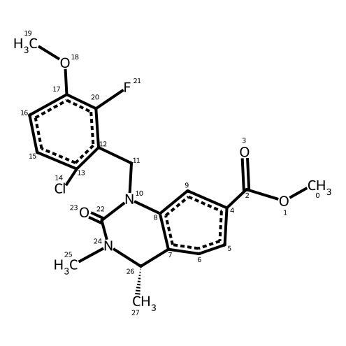 COC(=O)c1ccc2c(c1)N(Cc1c(Cl)ccc(OC)c1F)C(=O)N(C)[C@H]2C